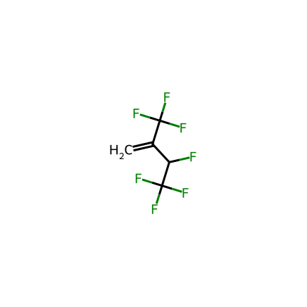 C=C(C(F)C(F)(F)F)C(F)(F)F